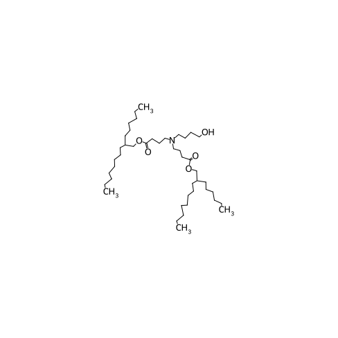 CCCCCCCCC(CCCCCC)COC(=O)CCCN(CCCCO)CCCC(=O)OCC(CCCCCC)CCCCCCCC